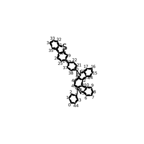 c1ccc(-n2c3ccccc3c3c4c5ccccc5n(-c5ccc(-c6ccc7c(c6)sc6ccccc67)cc5)c4ccc32)cc1